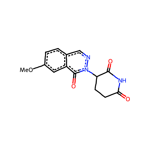 COc1ccc2cnn(C3CCC(=O)NC3=O)c(=O)c2c1